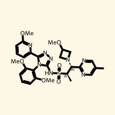 COc1cccc(-c2nnc(NS(=O)(=O)[C@H](C)[C@@H](c3ncc(C)cn3)N3CC(OC)C3)n2-c2c(OC)cccc2OC)n1